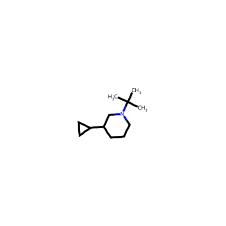 CC(C)(C)N1CCCC(C2CC2)C1